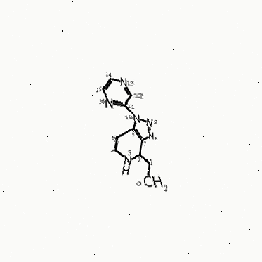 CCC1NCCc2c1nnn2-c1cnccn1